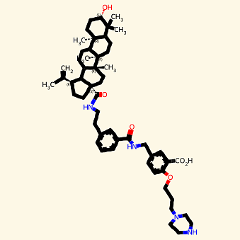 C=C(C)[C@@H]1CC[C@]2(C(=O)NCCc3cccc(C(=O)NCc4ccc(OCCCN5CCNCC5)c(C(=O)O)c4)c3)CC[C@]3(C)C(CCC4[C@@]5(C)CC[C@H](O)C(C)(C)C5CC[C@]43C)C12